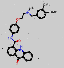 COc1ccc(CN(C)CCOc2ccc(NC(=O)c3cccc4c(=O)c5ccccc5[nH]c34)cc2)cc1OC